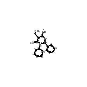 CCc1c(O)nc(-c2ccccc2)n(-c2ccccc2)c1=O